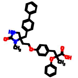 CN1C(=O)NCC1(CCOc1ccc(CC(C)(Oc2ccccc2)C(=O)O)cc1)Cc1ccc(-c2ccccc2)cc1